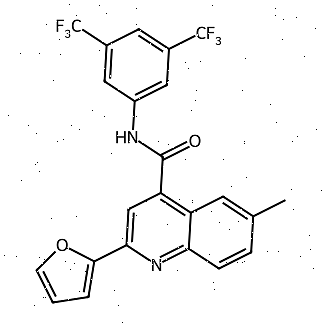 Cc1ccc2nc(-c3ccco3)cc(C(=O)Nc3cc(C(F)(F)F)cc(C(F)(F)F)c3)c2c1